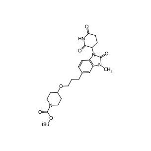 Cn1c(=O)n(C2CCC(=O)NC2=O)c2ccc(CCCOC3CCN(C(=O)OC(C)(C)C)CC3)cc21